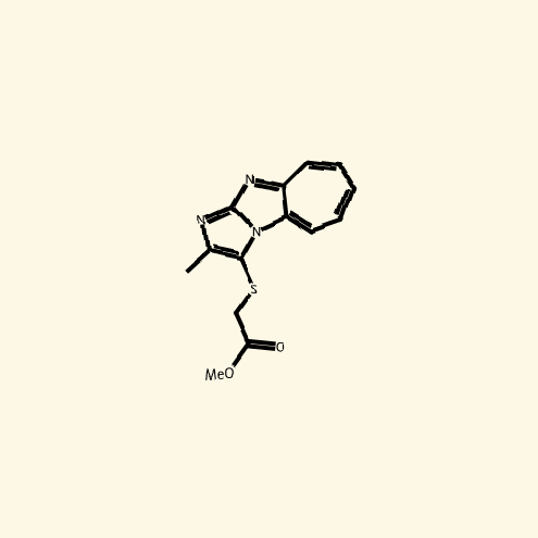 COC(=O)CSc1c(C)nc2nc3cccccc3n12